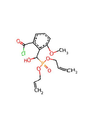 C=CCOP(=O)(OCC=C)C(O)c1c(OC)cccc1C(=O)Cl